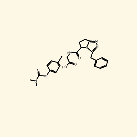 CN(C)C(=O)Oc1ccc(C[C@H](NC(=O)C2CCc3nnc(Cc4ccccc4)n32)C(=O)O)cc1